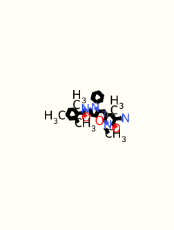 CCN1C(=O)C(C#N)=C(C)/C(=C/c2cc3oc(-c4c(C)cc(C)cc4C)nc3n2-c2ccccc2)C1=O